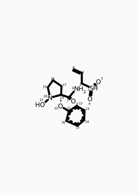 C=CC[SH](=O)=O.NC(=O)[C@]1(Oc2ccccc2)CCCN1O